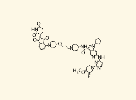 CO[C@H]1CCN(c2nccc(Nc3cc4c(cn3)c(C(=O)NC3CCN(CCCOC5CCN(c6cccc7c6C(=O)N(C6CCC(=O)NC6=O)C7=O)CC5)CC3)cn4C3CCCC3)n2)C[C@H]1F